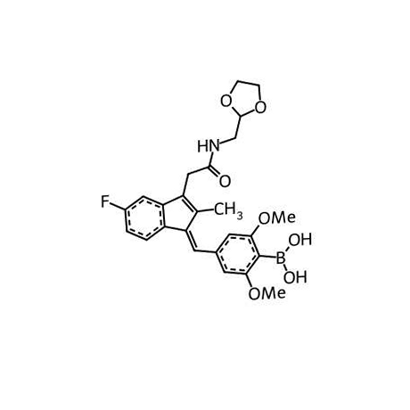 COc1cc(C=C2C(C)=C(CC(=O)NCC3OCCO3)c3cc(F)ccc32)cc(OC)c1B(O)O